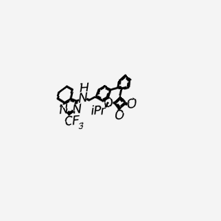 CC(C)Oc1c(-c2ccccc2-c2ccc(CNc3nc(C(F)(F)F)nc4c3CCCC4)cc2)c(=O)c1=O